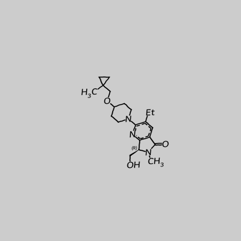 CCc1cc2c(nc1N1CCC(OCC3(C)CC3)CC1)[C@H](CO)N(C)C2=O